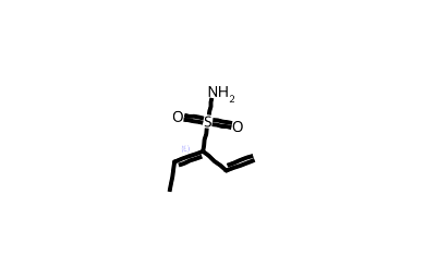 C=C/C(=C\C)S(N)(=O)=O